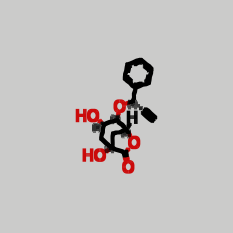 C#C[C@H](O[C@@H]1[C@H](O)C[C@]2(O)C[C@H]1OC2=O)c1ccccc1